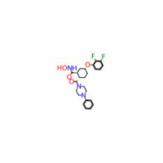 O=C(NO)[C@H]1C[C@H](Oc2cccc(F)c2F)CC[C@@H]1C(=O)N1CCN(c2ccccc2)CC1